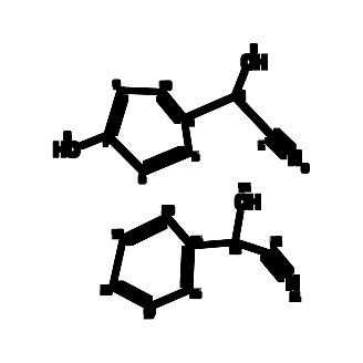 N#CC(O)c1ccc(O)cc1.N#CC(O)c1ccccc1